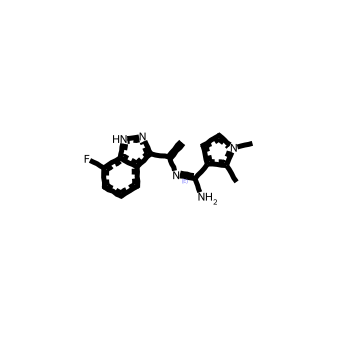 C=C(/N=C(/N)c1ccn(C)c1C)c1n[nH]c2c(F)cccc12